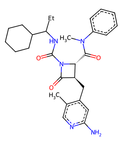 CCC(NC(=O)N1C(=O)[C@H](Cc2cc(N)ncc2C)[C@H]1C(=O)N(C)c1ccccc1)C1CCCCC1